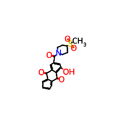 CS(=O)(=O)C1CCN(C(=O)c2cc(O)c3c(c2)C(=O)c2ccccc2C3=O)CC1